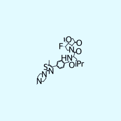 C=C[C@]12OCC(=O)C1N(C(=O)C(CC(C)C)NC(=O)c1ccc(-c3nc(N4CCN(C)CC4)sc3C)cc1)C[C@@H]2F